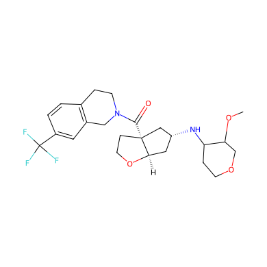 COC1COCCC1N[C@@H]1C[C@H]2OCC[C@@]2(C(=O)N2CCc3ccc(C(F)(F)F)cc3C2)C1